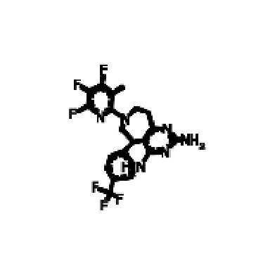 Cc1c(N2CCc3nc(N)nc(N)c3C(c3ccc(C(F)(F)F)cc3)C2)nc(F)c(F)c1F